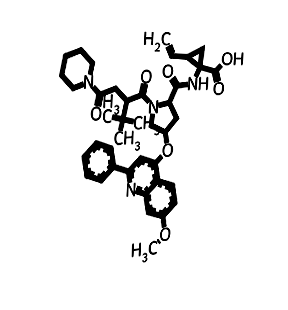 C=CC1CC1(NC(=O)C1CC(Oc2cc(-c3ccccc3)nc3cc(OC)ccc23)CN1C(=O)C(CC(=O)N1CCCCC1)C(C)(C)C)C(=O)O